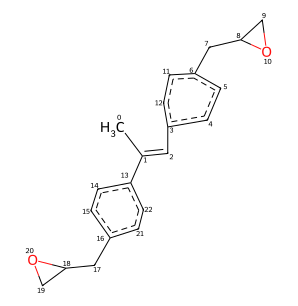 C/C(=C\c1ccc(CC2CO2)cc1)c1ccc(CC2CO2)cc1